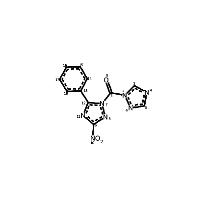 O=C(n1cncn1)n1nc([N+](=O)[O-])nc1-c1ccccc1